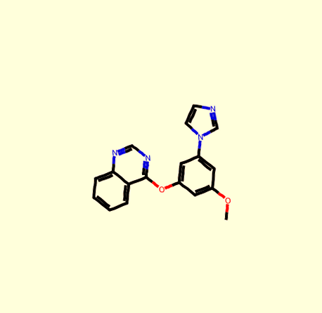 COc1cc(Oc2ncnc3ccccc23)cc(-n2ccnc2)c1